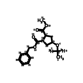 [2H]C([2H])(C)O[C@@H]1CC(C(=O)OC)N(C(=O)OCc2ccccc2)C1